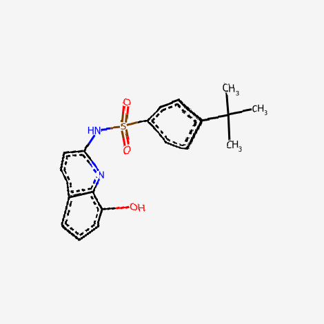 CC(C)(C)c1ccc(S(=O)(=O)Nc2ccc3cccc(O)c3n2)cc1